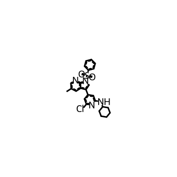 Cc1cnc2c(c1)c(-c1cc(Cl)nc(NC3CCCCC3)c1)cn2S(=O)(=O)c1ccccc1